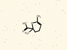 CC1=CCCC(C)(C(=O)O)O1